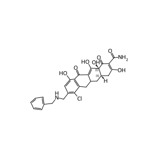 NC(=O)C1=C(O)C[C@@H]2CC3Cc4c(Cl)c(CNCc5ccccc5)cc(O)c4C(=O)C3=C(O)[C@]2(O)C1=O